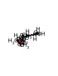 COC1C(OC(=O)N[C@@H](COC(=O)NCCCCCCNC(=O)CNO)C(C)C)CC[C@]2(CO2)C1C1(C)O[C@@H]1CC=C(C)C